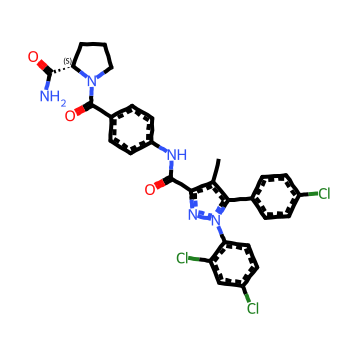 Cc1c(C(=O)Nc2ccc(C(=O)N3CCC[C@H]3C(N)=O)cc2)nn(-c2ccc(Cl)cc2Cl)c1-c1ccc(Cl)cc1